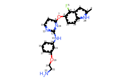 Cc1cc2c(F)c(Oc3ccnc(Nc4cccc(OCCN)c4)n3)ccc2[nH]1